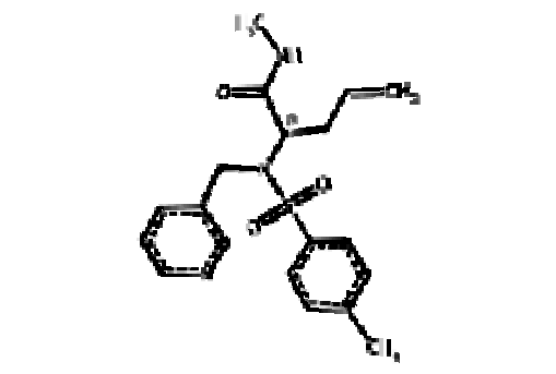 C=CC[C@H](C(=O)NC)N(Cc1cccnc1)S(=O)(=O)c1ccc(C)cc1